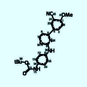 COc1ccc(-c2ccnc(Nc3ccc(NC(=O)OC(C)(C)C)cc3)n2)cc1C#N